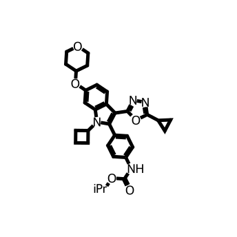 CC(C)OC(=O)Nc1ccc(-c2c(-c3nnc(C4CC4)o3)c3ccc(OC4CCOCC4)cc3n2C2CCC2)cc1